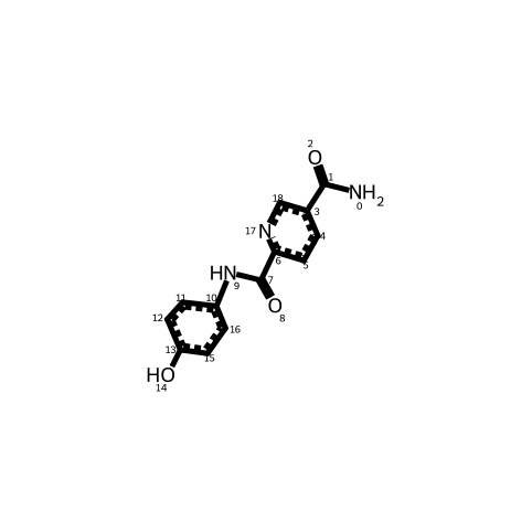 NC(=O)c1ccc(C(=O)Nc2ccc(O)cc2)nc1